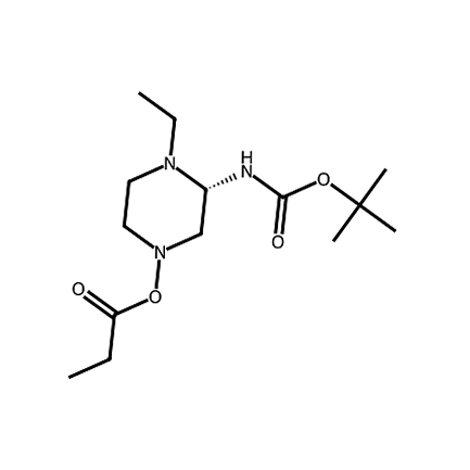 CCC(=O)ON1CCN(CC)[C@H](NC(=O)OC(C)(C)C)C1